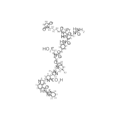 Cc1c(-c2ccc(-c3cnc4cccc(C(=O)Nc5nc6ccccc6s5)c4c3)nc2C(=O)O)cnn1CC12CC3(C)CC(C)(C1)CC(OCCN(CCC(=O)O)C(=O)OCc1ccc(NC(=O)[C@H](CCCNC(N)=O)NC(=O)C(NC(=O)CCCCCN4C(=O)C=CC4=O)C(C)C)cc1)(C3)C2